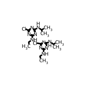 CCNc1nc(Cl)nc(NC(C)C)n1.CCNc1nc(Cl)nc(NC(C)C)n1